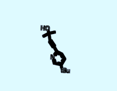 CC(C)(O)C#Cc1ccc(C(C)(C)C)cn1